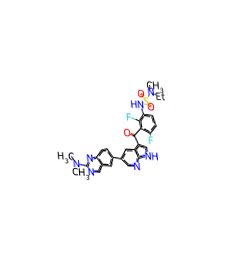 CCN(C)S(=O)(=O)Nc1ccc(F)c(C(=O)c2c[nH]c3ncc(-c4ccc5nc(N(C)C)ncc5c4)cc23)c1F